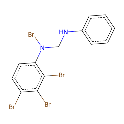 Brc1ccc(N(Br)CNc2ccccc2)c(Br)c1Br